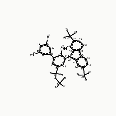 CC(C)(C)CC(C)(C)c1cc(-c2cc(F)cc(F)c2)c(O)c(-n2c3cc(C(C)(C)C)ccc3c3ccc(C(C)(C)C)cc32)c1